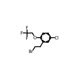 FC(F)(F)COc1ccc(Cl)cc1CCBr